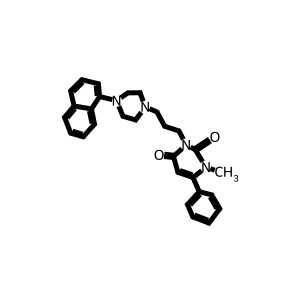 Cn1c(-c2ccccc2)cc(=O)n(CCCN2CCN(c3cccc4ccccc34)CC2)c1=O